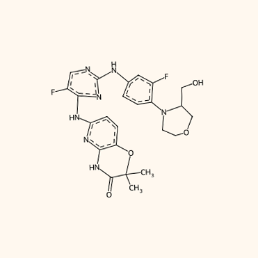 CC1(C)Oc2ccc(Nc3nc(Nc4ccc(N5CCOCC5CO)c(F)c4)ncc3F)nc2NC1=O